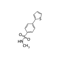 CNS(=O)(=O)c1ccc(-c2cccs2)cc1